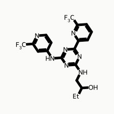 CCC(O)CNc1nc(Nc2ccnc(C(F)(F)F)c2)nc(-c2cccc(C(F)(F)F)n2)n1